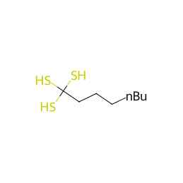 CCCCCCCC(S)(S)S